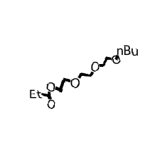 CCCCOCCOCCOCCOC(=O)CC